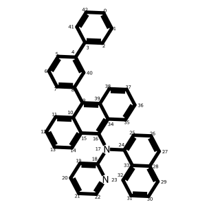 c1ccc(-c2cccc(-c3c4ccccc4c(N(c4ccccn4)c4cccc5ccccc45)c4ccccc34)c2)cc1